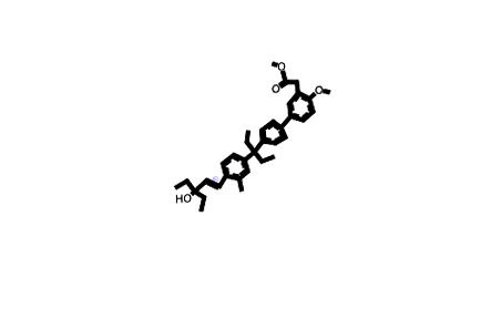 CCC(O)(/C=C/c1ccc(C(CC)(CC)c2ccc(-c3ccc(OC)c(CC(=O)OC)c3)cc2)cc1C)CC